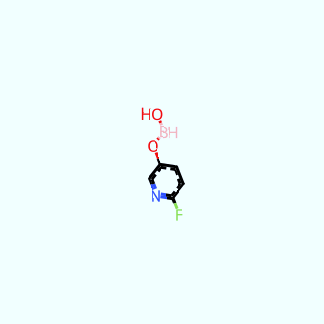 OBOc1ccc(F)nc1